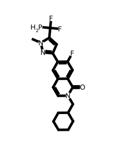 Cn1nc(-c2cc3ccn(CC4CCCCC4)c(=O)c3cc2F)cc1C(F)(F)P